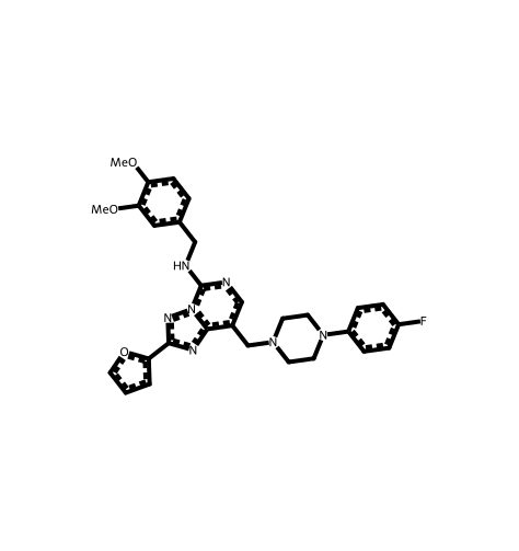 COc1ccc(CNc2ncc(CN3CCN(c4ccc(F)cc4)CC3)c3nc(-c4ccco4)nn23)cc1OC